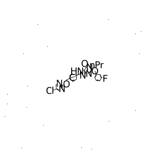 CCCn1c(Oc2cccc(F)c2)nc2nc(C34CCC(COc5ncc(Cl)cn5)(CC3)CC4)[nH]c2c1=O